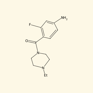 CCN1CCN(C(=O)c2ccc(N)cc2F)CC1